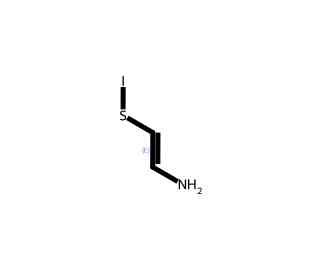 N/C=C/SI